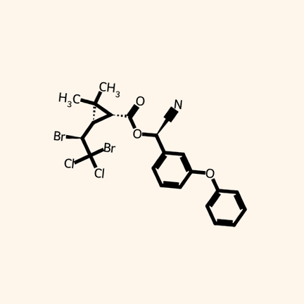 CC1(C)[C@@H]([C@H](Br)C(Cl)(Cl)Br)[C@H]1C(=O)O[C@@H](C#N)c1cccc(Oc2ccccc2)c1